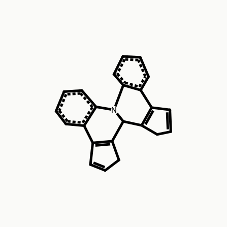 C1=CC2=C(C1)C1C3=C(C=CC3)c3ccccc3N1c1ccccc12